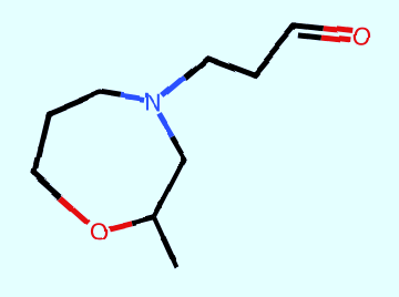 CC1CN(CCC=O)CCCO1